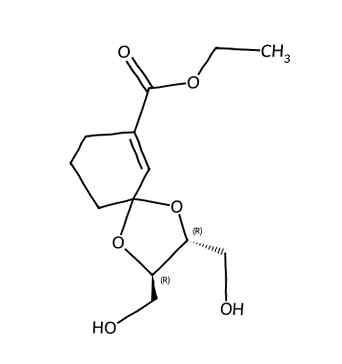 CCOC(=O)C1=CC2(CCC1)O[C@H](CO)[C@@H](CO)O2